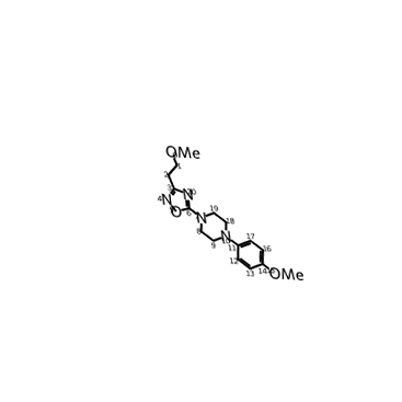 COCCc1noc(N2CCN(c3ccc(OC)cc3)CC2)n1